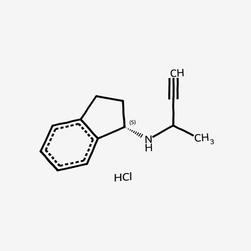 C#CC(C)N[C@H]1CCc2ccccc21.Cl